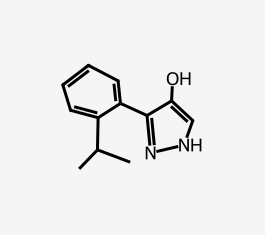 CC(C)c1ccccc1-c1n[nH]cc1O